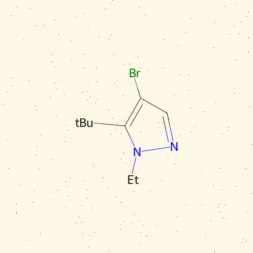 CCn1ncc(Br)c1C(C)(C)C